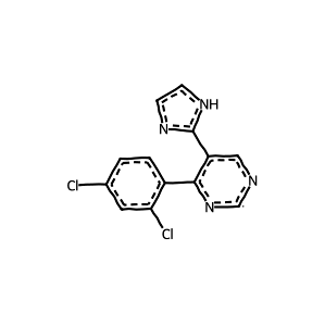 Clc1ccc(-c2n[c]ncc2-c2ncc[nH]2)c(Cl)c1